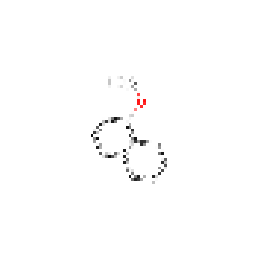 O=S(=O)(O)Oc1cccc2ccccc12